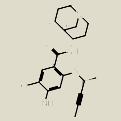 CC#C[C@H](C)Oc1cc(N)c(Cl)cc1C(=O)N[C@H]1CCN2CCCC1C2